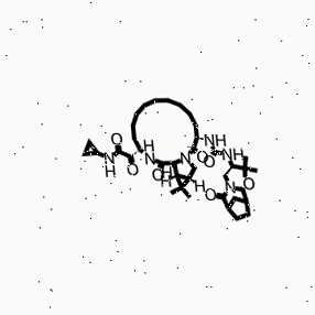 CC(C)(C)[C@@H](CN1C(=O)C2CCC(C2)C1=O)NC(=O)N[C@H]1CCCCCCCCC[C@@H](C(=O)C(=O)NC2CC2)NC(=O)[C@@H]2[C@@H]3[C@H](CN2C1=O)C3(C)C